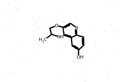 CC1COc2cnc3ccc(O)cc3c2N1